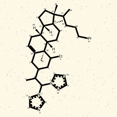 CCC1C[C](C(C)C(n2cncn2)n2cncn2)CC2=CC[C@@H]3[C@@H]4CC[C@](C)(C(C)CCCC(C)C)[C@@]4(C)CC[C@@H]3[C@]21C